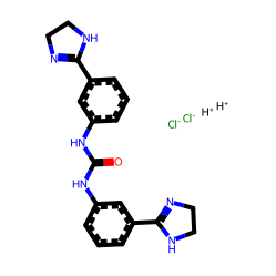 O=C(Nc1cccc(C2=NCCN2)c1)Nc1cccc(C2=NCCN2)c1.[Cl-].[Cl-].[H+].[H+]